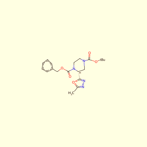 Cc1nnc([C@H]2CN(C(=O)OC(C)(C)C)CCN2C(=O)OCc2ccccc2)o1